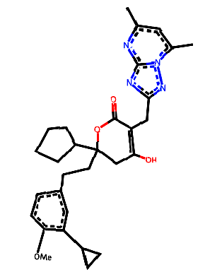 COc1ccc(CCC2(C3CCCC3)CC(O)=C(Cc3nc4nc(C)cc(C)n4n3)C(=O)O2)cc1C1CC1